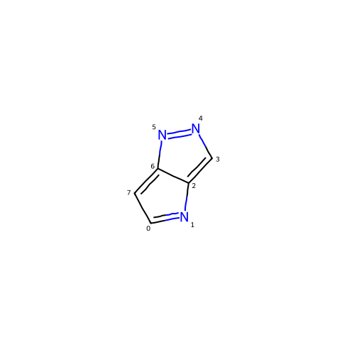 C1=NC2=CN=NC2=C1